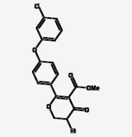 CCC1COC(c2ccc(Oc3cccc(Cl)c3)cc2)=C(C(=O)OC)C1=O